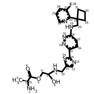 C[C@H](N)C(=O)OCC(O)NCc1cnc(-c2ccc(NCC3(c4ncccc4F)CCC3)nn2)s1